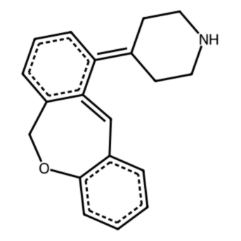 C1=c2c(cccc2=C2CCNCC2)COc2ccccc21